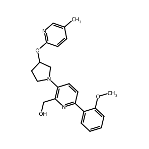 COc1ccccc1-c1ccc(N2CCC(Oc3ccc(C)cn3)C2)c(CO)n1